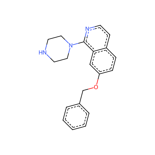 c1ccc(COc2ccc3ccnc(N4CCNCC4)c3c2)cc1